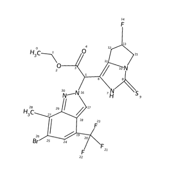 CCOC(=O)C(c1[nH]c(=S)n2c1CC(F)C2)n1cc2c(C(F)(F)F)cc(Br)c(C)c2n1